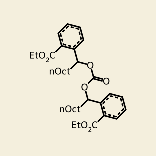 CCCCCCCCC(OC(=O)OC(CCCCCCCC)c1ccccc1C(=O)OCC)c1ccccc1C(=O)OCC